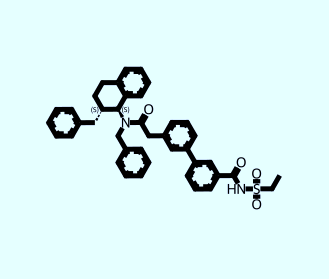 CCS(=O)(=O)NC(=O)c1cccc(-c2cccc(CC(=O)N(Cc3ccccc3)[C@@H]3c4ccccc4CC[C@H]3Cc3ccccc3)c2)c1